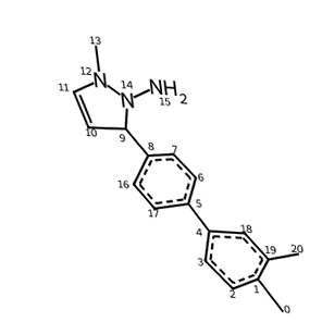 Cc1ccc(-c2ccc(C3C=CN(C)N3N)cc2)cc1C